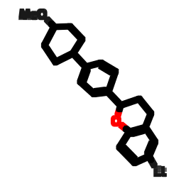 CCc1ccc2c(c1)CCC(c1ccc(C3CCC(OC)CC3)cc1)O2